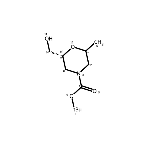 CC1CN(C(=O)OC(C)(C)C)C[C@H](CO)O1